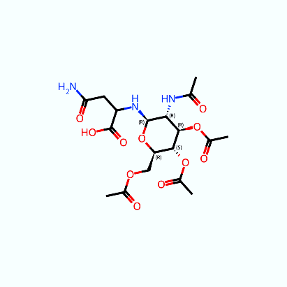 CC(=O)N[C@@H]1[C@@H](OC(C)=O)[C@H](OC(C)=O)[C@@H](COC(C)=O)O[C@H]1NC(CC(N)=O)C(=O)O